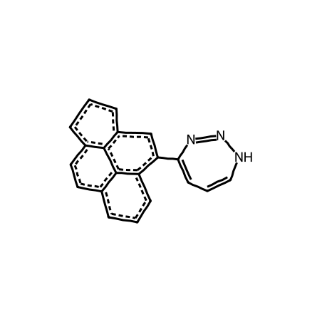 C1=CNN=NC(c2cc3cccc4ccc5cccc2c5c43)=C1